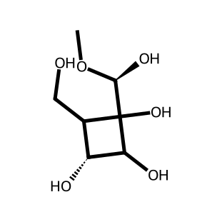 CO[C@@H](O)C1(O)C(O)[C@H](O)C1CO